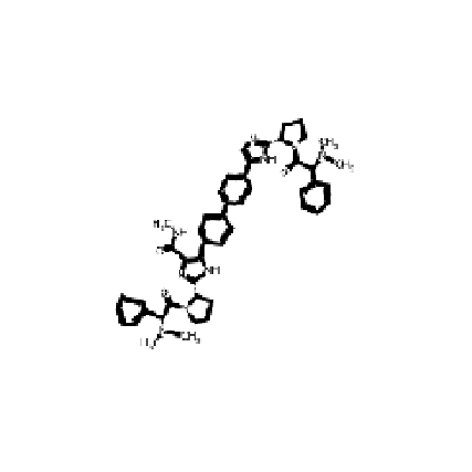 CNC(=O)c1nc([C@@H]2CCCN2C(=O)[C@@H](c2ccccc2)N(C)C)[nH]c1-c1ccc(-c2ccc(-c3cnc([C@@H]4CCCN4C(=O)C(c4ccccc4)N(C)C)[nH]3)cc2)cc1